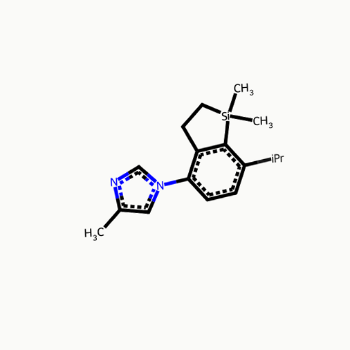 Cc1cn(-c2ccc(C(C)C)c3c2CC[Si]3(C)C)cn1